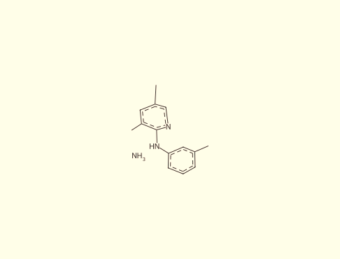 Cc1cccc(Nc2ncc(C)cc2C)c1.N